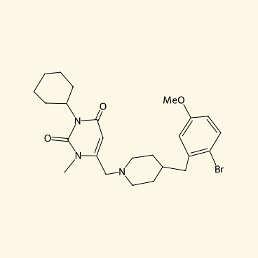 COc1ccc(Br)c(CC2CCN(Cc3cc(=O)n(C4CCCCC4)c(=O)n3C)CC2)c1